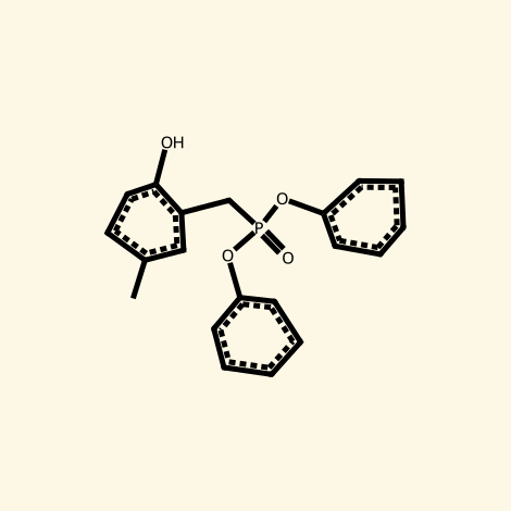 Cc1ccc(O)c(CP(=O)(Oc2ccccc2)Oc2ccccc2)c1